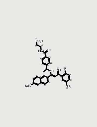 COc1ccc2cc(/C(=C/C(=N)c3cc(N)ccc3Cl)NC(C)c3ccc(C(=O)NCCC(=O)O)cc3)ccc2c1